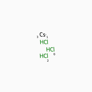 Cl.Cl.Cl.[Cs]